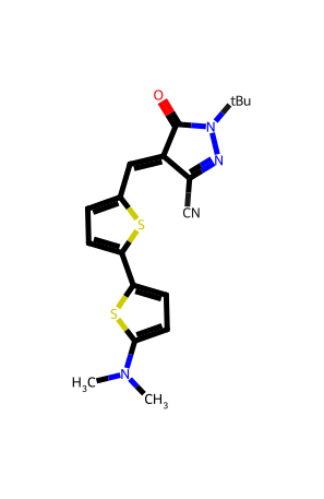 CN(C)c1ccc(-c2ccc(C=C3C(=O)N(C(C)(C)C)N=C3C#N)s2)s1